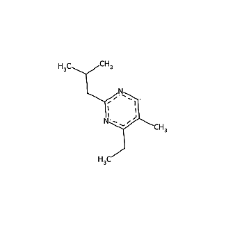 CCc1nc(CC(C)C)n[c]c1C